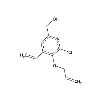 C=CCOc1c(C=C)cc(CO)nc1Cl